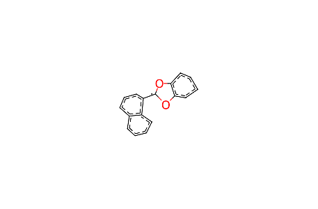 c1ccc2c(c1)O[C](c1cccc3ccccc13)O2